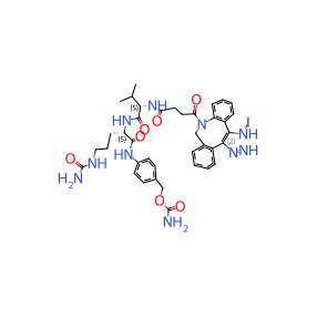 CC(C)[C@H](NC(=O)CCC(=O)N1Cc2ccccc2/C(N=N)=C(/NI)c2ccccc21)C(=O)N[C@@H](CCCNC(N)=O)C(=O)Nc1ccc(COC(N)=O)cc1